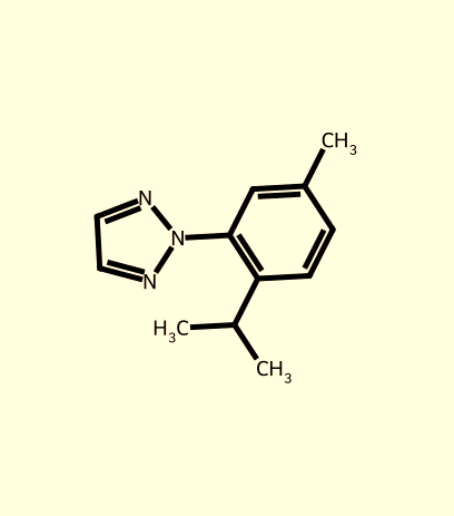 Cc1ccc(C(C)C)c(-n2nccn2)c1